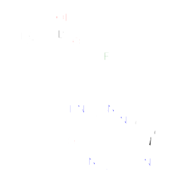 CC1=Cc2cc(Nc3nn([C@@H]4CCC[C@H]4C#N)cc3C(N)=O)cc(F)c2OB1O